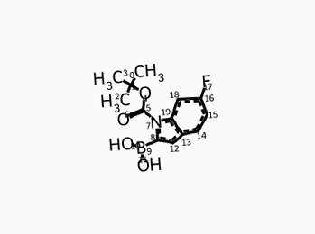 CC(C)(C)OC(=O)n1c(B(O)O)cc2ccc(F)cc21